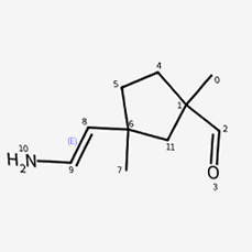 CC1(C=O)CCC(C)(/C=C/N)C1